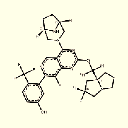 [2H]C([2H])(Oc1nc(N2C[C@H]3CC[C@@H](C2)N3)c2cnc(-c3cc(O)ccc3C(F)(F)F)c(F)c2n1)[C@@]12CCCN1C[C@]([2H])(F)C2